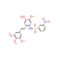 COc1cc(NS(=O)(=O)c2cccc([N+](=O)[O-])c2)c(C=Cc2cc(OC)c(OC)c(OC)c2)cc1O